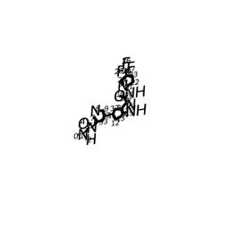 CN(C)C(=O)Nc1cncc(-c2ccc3[nH]nc(C(=O)Nc4ccc(C(F)(F)F)cn4)c3c2)c1